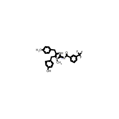 Cc1ccc(Cc2[nH]/c(=N\C(=O)c3cccc(C(F)(F)F)c3)n(C)c2Cc2ccc(O)cc2)cc1